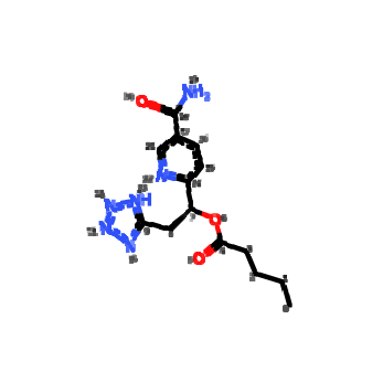 CCCCC(=O)O[C@@H](Cc1nnn[nH]1)c1ccc(C(N)=O)cn1